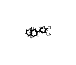 N#Cc1cc(C2=C[C@H]3NCCC[C@H]3CC2)cnc1Cl